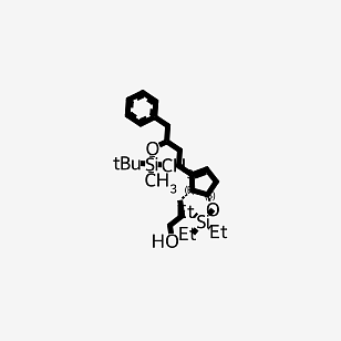 CC[Si](CC)(CC)O[C@H]1CC=C(CCC(Cc2ccccc2)O[Si](C)(C)C(C)(C)C)[C@H]1CCCO